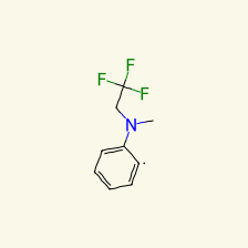 CN(CC(F)(F)F)c1[c]cccc1